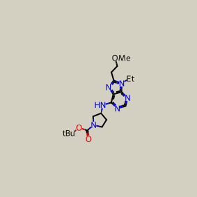 CCn1c(CCOC)nc2c(N[C@H]3CCN(C(=O)OC(C)(C)C)C3)ncnc21